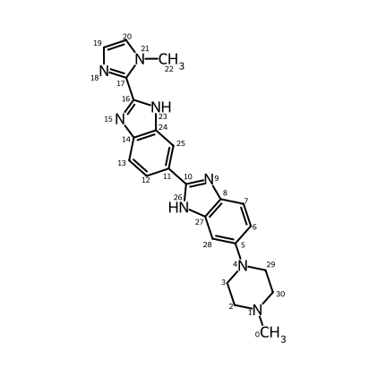 CN1CCN(c2ccc3nc(-c4ccc5nc(-c6nccn6C)[nH]c5c4)[nH]c3c2)CC1